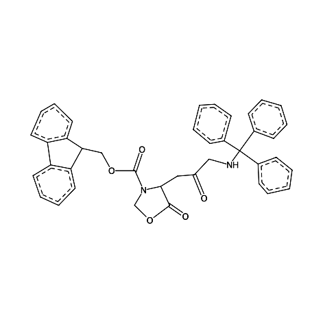 O=C(CNC(c1ccccc1)(c1ccccc1)c1ccccc1)CC1C(=O)OCN1C(=O)OCC1c2ccccc2-c2ccccc21